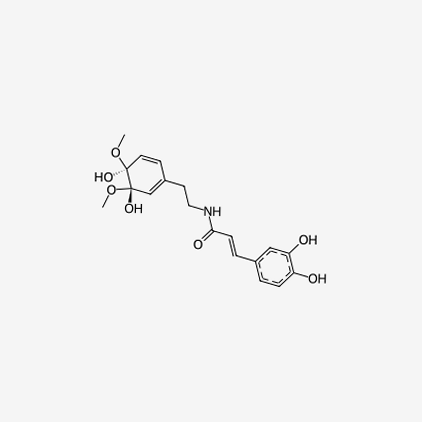 CO[C@@]1(O)C=CC(CCNC(=O)C=Cc2ccc(O)c(O)c2)=C[C@]1(O)OC